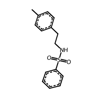 Cc1ccc(CCNS(=O)(=O)c2ccccc2)cc1